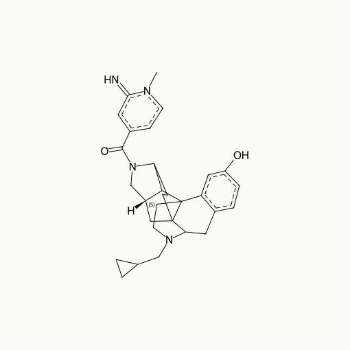 Cn1ccc(C(=O)N2C[C@H]3CC45CCC2C3C42CCN(CC3CC3)C5Cc3ccc(O)cc32)cc1=N